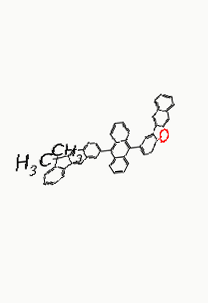 CC1(C)c2ccccc2-c2cc3cc(-c4c5ccccc5c(-c5ccc6oc7cc8ccccc8cc7c6c5)c5ccccc45)ccc3cc21